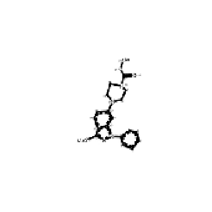 CSc1nn(-c2ccccc2)c2cc(N3CCN(C(=O)OC(C)(C)C)CC3)ccc12